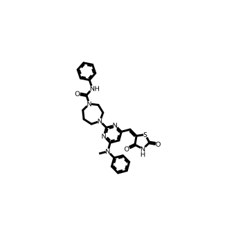 CN(c1ccccc1)c1cc(C=C2SC(=O)NC2=O)nc(N2CCCN(C(=O)Nc3ccccc3)CC2)n1